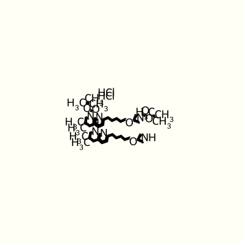 CC1(C)CNc2nc(CCCCCOC3CNC3)ccc2C1.CC1(C)Cc2ccc(CCCCCOC3CN(C(=O)OC(C)(C)C)C3)nc2N(C(=O)OC(C)(C)C)C1.Cl.Cl